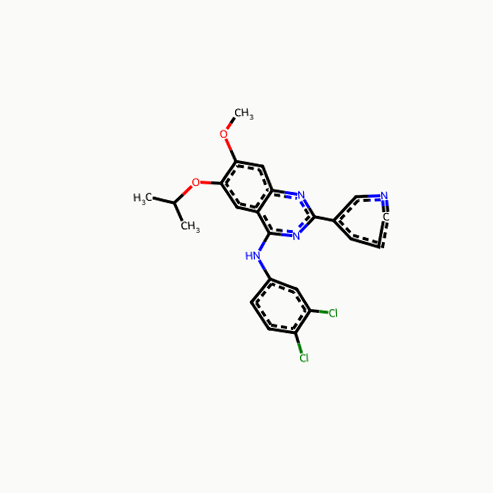 COc1cc2nc(-c3cccnc3)nc(Nc3ccc(Cl)c(Cl)c3)c2cc1OC(C)C